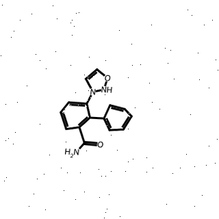 NC(=O)c1cccc(N2C=CON2)c1-c1ccccc1